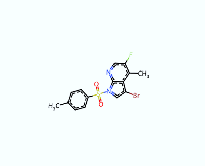 Cc1ccc(S(=O)(=O)n2cc(Br)c3c(C)c(F)cnc32)cc1